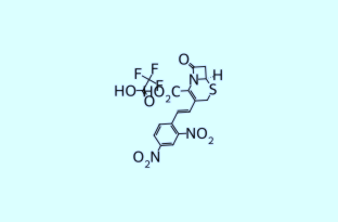 O=C(O)C(F)(F)F.O=C(O)C1=C(C=Cc2ccc([N+](=O)[O-])cc2[N+](=O)[O-])CS[C@@H]2CC(=O)N12